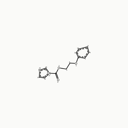 O=C(OCCOc1ccccc1)n1ccnc1